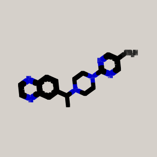 CC(c1ccc2nccnc2c1)N1CCN(c2ncc(C(=O)O)cn2)CC1